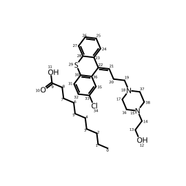 CCCCCCCCCC(=O)O.OCCN1CCN(CC/C=C2/c3ccccc3Sc3ccc(Cl)cc32)CC1